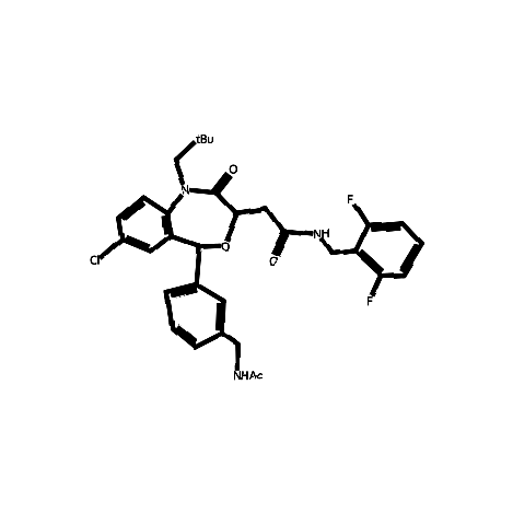 CC(=O)NCc1cccc(C2OC(CC(=O)NCc3c(F)cccc3F)C(=O)N(CC(C)(C)C)c3ccc(Cl)cc32)c1